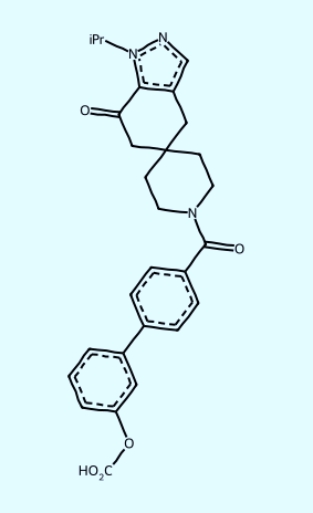 CC(C)n1ncc2c1C(=O)CC1(CCN(C(=O)c3ccc(-c4cccc(OC(=O)O)c4)cc3)CC1)C2